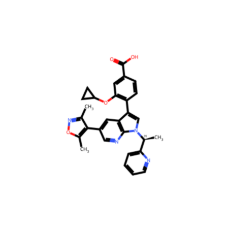 Cc1noc(C)c1-c1cnc2c(c1)c(-c1ccc(C(=O)O)cc1OC1CC1)cn2[C@@H](C)c1ccccn1